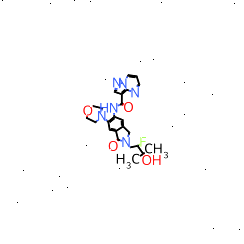 CC(C)(O)C(F)CN1Cc2cc(NC(=O)c3cnn4cccnc34)c(N3CCOCC3)cc2C1=O